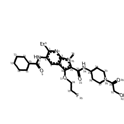 CCc1nc2c(cc1NC(=O)C1CCCCC1)c(OCCF)c(C(=O)NC1CCN(C(=O)CO)CC1)n2C